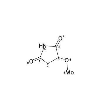 O=C1CC([O][Mo])C(=O)N1